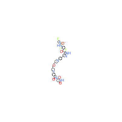 O=C1CCC(N2Cc3cc(N4CCC(COCC5CCN(c6ccc(-c7cnc8[nH]cc(C(=O)c9c(F)ccc(N[S+]([O-])N%10CCC(F)C%10)c9F)c8c7)cc6)CC5)CC4)ccc3C2=O)C(=O)N1